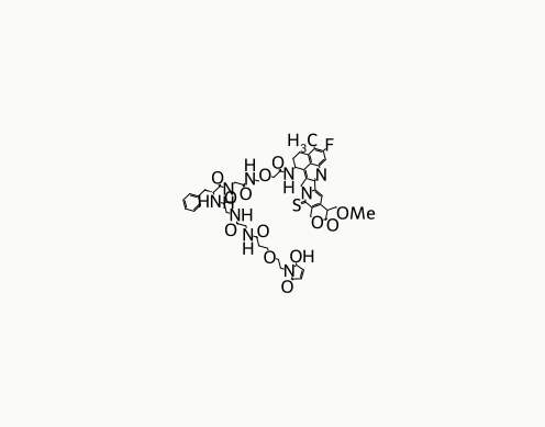 COCC1C(=O)OCc2c1cc1n(c2=S)Cc2c-1nc1cc(F)c(C)c3c1c2C(NC(=O)COCNC(=O)CNC(=O)[C@H](Cc1ccccc1)NC(=O)CNC(=O)CNC(=O)CCOCCN1C(=O)C=CC1O)CC3